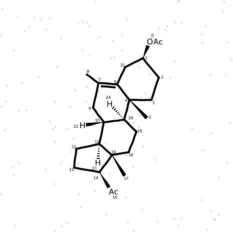 CC(=O)O[C@H]1CC[C@@]2(C)C(=C(C)C[C@H]3[C@@H]4CC[C@H](C(C)=O)[C@@]4(C)CC[C@@H]32)C1